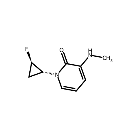 CNc1cccn([C@@H]2C[C@H]2F)c1=O